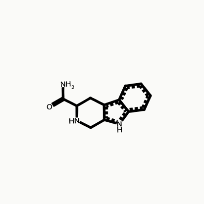 NC(=O)C1Cc2c([nH]c3ccccc23)CN1